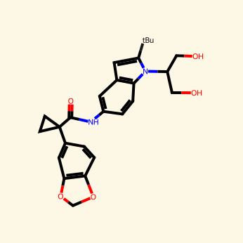 CC(C)(C)c1cc2cc(NC(=O)C3(c4ccc5c(c4)OCO5)CC3)ccc2n1C(CO)CO